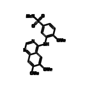 CNS(=O)(=O)c1ccc(OC)c(Nc2ncnc3cc(OC)c(OC)cc23)c1